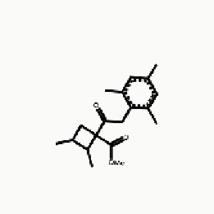 COC(=O)C1(C(=O)Cc2c(C)cc(C)cc2C)CC(C)C1C